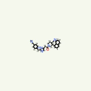 N#CC1=C(c2cccc3ccccc23)CN(C(=O)Cc2cnc(Cc3ccc(C#N)cc3)[nH]2)CC1